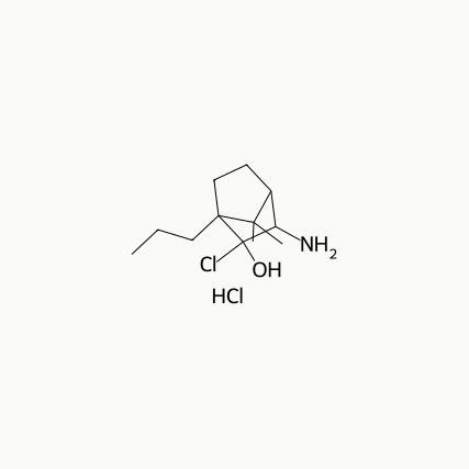 CCCC12CCC(C(N)C1(O)Cl)C2(C)C.Cl